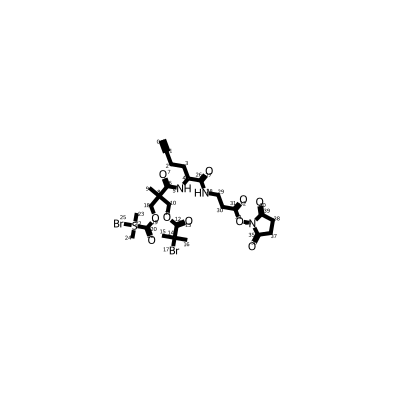 C#CCCC(NC(=O)C(C)(COC(=O)C(C)(C)Br)COC(=O)S(C)(C)Br)C(=O)NCCC(=O)ON1C(=O)CCC1=O